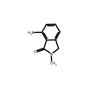 Bc1cccc2c1C(=O)N(C)C2